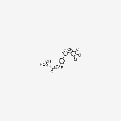 O=C(C1CS(O)(O)C1)N1CC(F)(c2ccc(C3=NOC(c4cc(Cl)c(Cl)c(Cl)c4)(C(F)(F)F)C3)cc2)C1